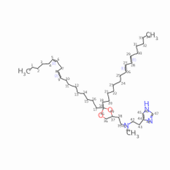 CCCCC/C=C\C/C=C\CCCCCCCCC1(CCCCCCC/C=C/C=C/CCCCC)OCC(CCN(C)CCc2c[nH]cn2)O1